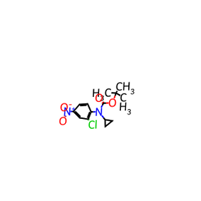 CC(C)(C)OC(=O)N(c1ccc([N+](=O)[O-])cc1Cl)C1CC1